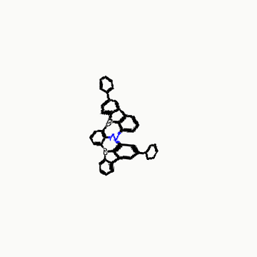 C1=CCCC(c2cc3c4c(c2)N2c5cccc6c5B(c5ccc(-c7ccccc7)cc5-6)c5cccc(c52)B4c2ccccc2-3)=C1